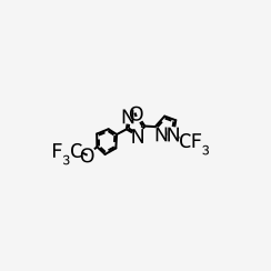 FC(F)(F)Oc1ccc(-c2noc(-c3ccn(C(F)(F)F)n3)n2)cc1